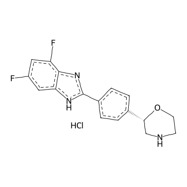 Cl.Fc1cc(F)c2nc(-c3ccc([C@H]4CNCCO4)cc3)[nH]c2c1